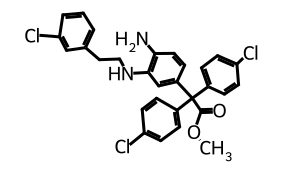 COC(=O)C(c1ccc(Cl)cc1)(c1ccc(Cl)cc1)c1ccc(N)c(NCCc2cccc(Cl)c2)c1